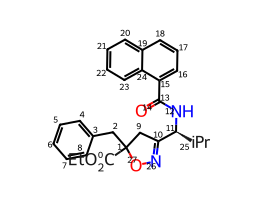 CCOC(=O)C1(Cc2ccccc2)CC([C@@H](NC(=O)c2cccc3ccccc23)C(C)C)=NO1